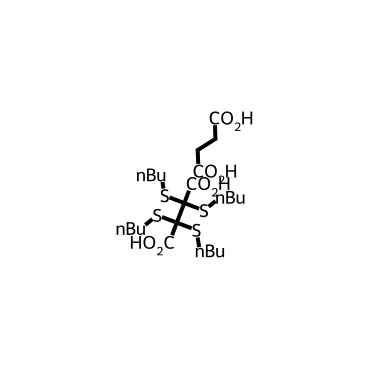 CCCCSC(SCCCC)(C(=O)O)C(SCCCC)(SCCCC)C(=O)O.O=C(O)CCC(=O)O